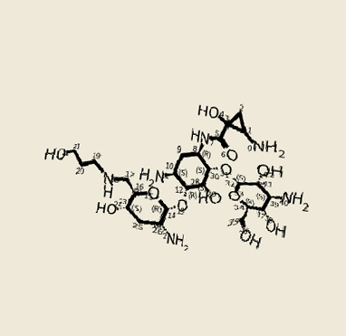 NC1CC1(O)C(=O)N[C@@H]1C[C@H](N)[C@@H](O[C@H]2O[C@H](CNCCCO)[C@@H](O)C[C@H]2N)[C@H](O)[C@H]1O[C@H]1O[C@H](CO)[C@@H](O)[C@H](N)[C@H]1O